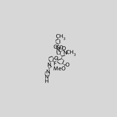 COC(=O)c1ccc(Oc2cccc(N3CC(N4CCNCC4)C3)c2F)c(-c2cn(C)c(=O)c3c2ccn3S(=O)(=O)c2ccc(C)cc2)c1